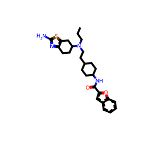 CCCN(CCC1CCC(NC(=O)c2cc3ccccc3o2)CC1)C1CCc2nc(N)sc2C1